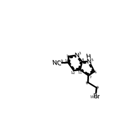 N#Cc1cnc2[nH]cc(CCBr)c2c1